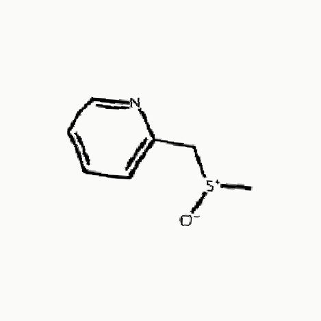 C[S+]([O-])Cc1ccccn1